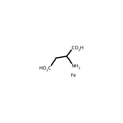 NC(CC(=O)O)C(=O)O.[Fe]